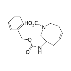 O=C(NC1CC=CCCN(C(=O)O)C1)OCc1ccccc1